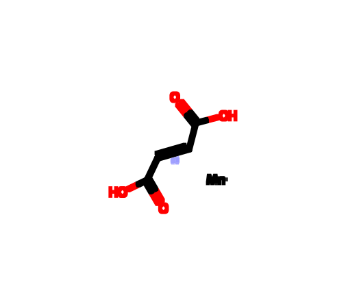 O=C(O)/C=C/C(=O)O.[Mn]